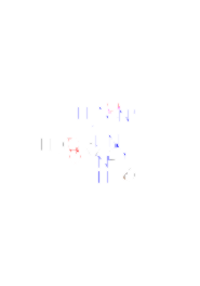 COC(=O)c1ccc2c(c1)[nH]c1cc(Cc3ccsc3)nc(NCCC[N+]3(CC(N)=O)CCCCC3)c12.[I-]